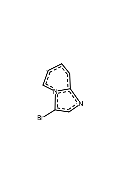 Brc1cnc2cc[c]cn12